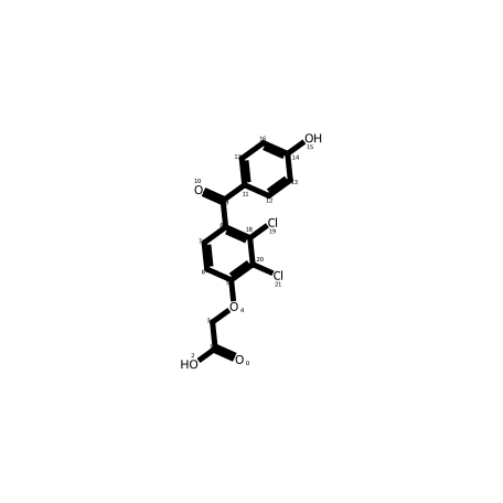 O=C(O)COc1ccc(C(=O)c2ccc(O)cc2)c(Cl)c1Cl